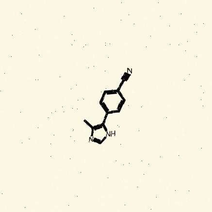 Cc1nc[nH]c1-c1ccc(C#N)cc1